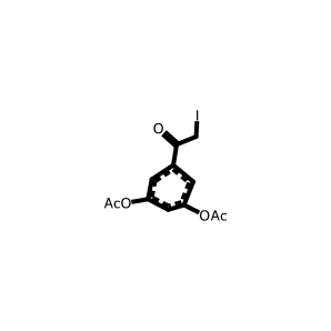 CC(=O)Oc1cc(OC(C)=O)cc(C(=O)CI)c1